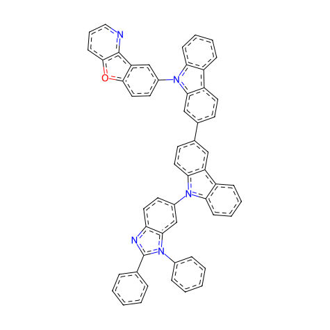 c1ccc(-c2nc3ccc(-n4c5ccccc5c5cc(-c6ccc7c8ccccc8n(-c8ccc9oc%10cccnc%10c9c8)c7c6)ccc54)cc3n2-c2ccccc2)cc1